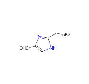 CCCCCc1nc(C=O)c[nH]1